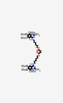 COc1cc2c(NCCCCCCOC(=O)/C=C\C(=O)OCCCCCCNc3nc(C)nc4c(OC)c(OC)c(OC)cc34)nc(C)nc2c(OC)c1OC